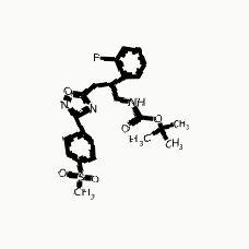 CC(C)(C)OC(=O)NCC(Cc1nc(-c2ccc(S(C)(=O)=O)cc2)no1)c1ccccc1F